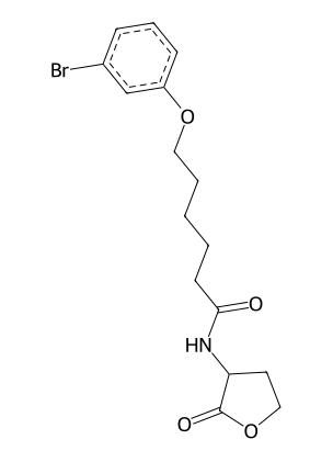 O=C(CCCCCOc1cccc(Br)c1)NC1CCOC1=O